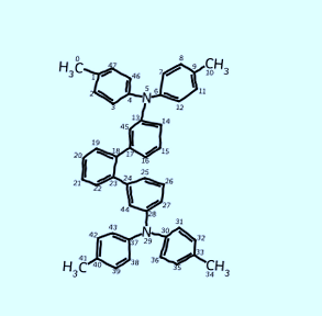 Cc1ccc(N(c2ccc(C)cc2)c2cccc(-c3ccccc3-c3cccc(N(c4ccc(C)cc4)c4ccc(C)cc4)c3)c2)cc1